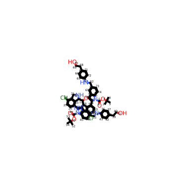 CC(C)(C)OC(=O)n1c(-c2ccc(Cl)c3c2C(C(=O)C2NCc4c(Cl)ccc(-c5cc6cc(CNc7ccc(CCO)cc7)ccc6n5C(=O)OC(C)(C)C)c42)NC3)cc2cc(CNc3ccc(CCO)cc3)ccc21